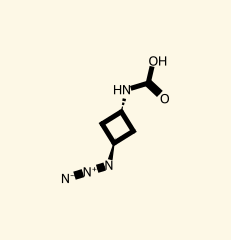 [N-]=[N+]=N[C@H]1C[C@H](NC(=O)O)C1